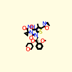 COc1ccccc1[C@H](Cn1c(=O)n(C2(C(N)=O)CC2)c(=O)c2c(C)c(-c3ncco3)sc21)OC1CCOCC1